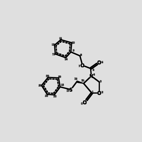 O=C1OCN(C(=O)OCc2ccccc2)[C@@H]1CSc1ccccc1